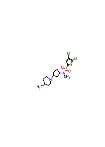 CC1CCN(C2CCC(N(C)S(=O)(=O)c3cc(Cl)c(Cl)s3)C2)CC1